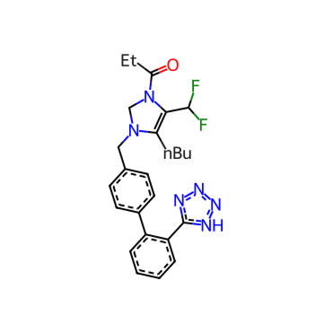 CCCCC1=C(C(F)F)N(C(=O)CC)CN1Cc1ccc(-c2ccccc2-c2nnn[nH]2)cc1